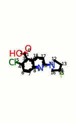 O=C(O)c1c(Cl)ccc2nc(N3CC[C@@H](F)C3)ccc12